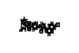 C=CCN(c1nccs1)S(=O)(=O)c1ccc(N2CCC(N3CCCc4cc(Cl)ccc43)C2=O)nc1